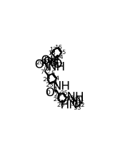 O=C(Nc1ccc(C[C@H](NS(=O)(=O)c2ccccc2)C(=O)O)cc1)c1cccc(NC2=NCCN2)c1